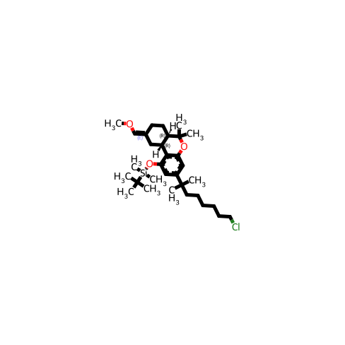 CO/C=C1\CC[C@@H]2[C@@H](C1)c1c(cc(C(C)(C)CCCCCCCl)cc1O[Si](C)(C)C(C)(C)C)OC2(C)C